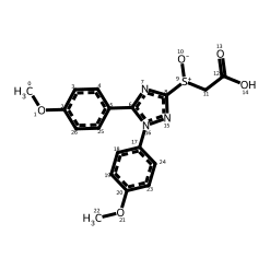 COc1ccc(-c2nc([S+]([O-])CC(=O)O)nn2-c2ccc(OC)cc2)cc1